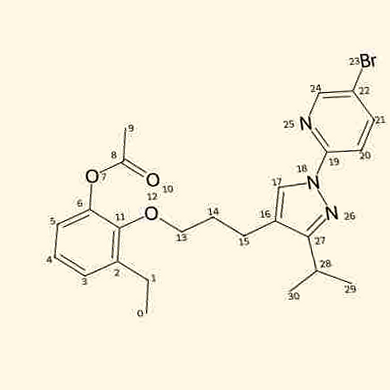 CCc1cccc(OC(C)=O)c1OCCCc1cn(-c2ccc(Br)cn2)nc1C(C)C